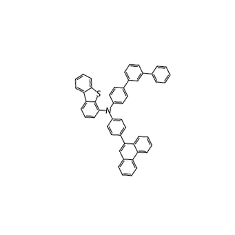 c1ccc(-c2cccc(-c3ccc(N(c4ccc(-c5cc6ccccc6c6ccccc56)cc4)c4cccc5c4sc4ccccc45)cc3)c2)cc1